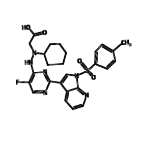 Cc1ccc(S(=O)(=O)n2cc(-c3ncc(F)c(NN(CC(=O)O)C4CCCCC4)n3)c3cccnc32)cc1